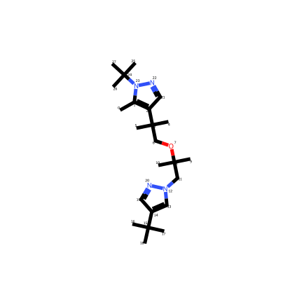 Cc1c(C(C)(C)COC(C)(C)Cn2cc(C(C)(C)C)cn2)cnn1C(C)(C)C